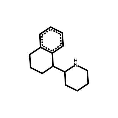 c1ccc2c(c1)CCCC2C1CCCCN1